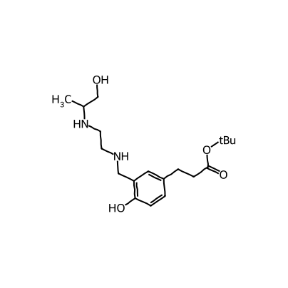 CC(CO)NCCNCc1cc(CCC(=O)OC(C)(C)C)ccc1O